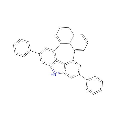 C1=CC2C=CC=C3c4cc(-c5ccccc5)cc5[nH]c6cc(-c7ccccc7)cc(c6c45)C(=C1)C32